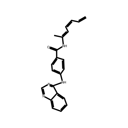 C=C/C=C\C=C(/C)NC(=O)c1ccc(Nc2ncnc3ccccc23)cc1